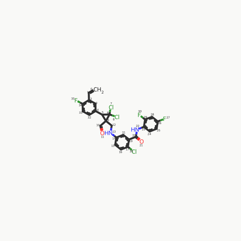 C=Cc1cc(C2C(Cl)(Cl)C2(C=O)CNc2ccc(Cl)c(C(=O)Nc3ccc(F)cc3F)c2)ccc1F